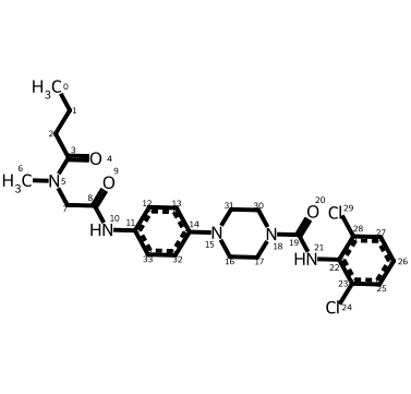 CCCC(=O)N(C)CC(=O)Nc1ccc(N2CCN(C(=O)Nc3c(Cl)cccc3Cl)CC2)cc1